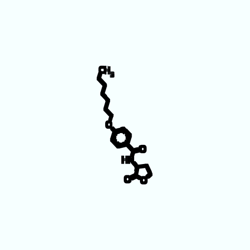 CCCCCCCOc1ccc(C(=O)NC2CCOC2=O)cc1